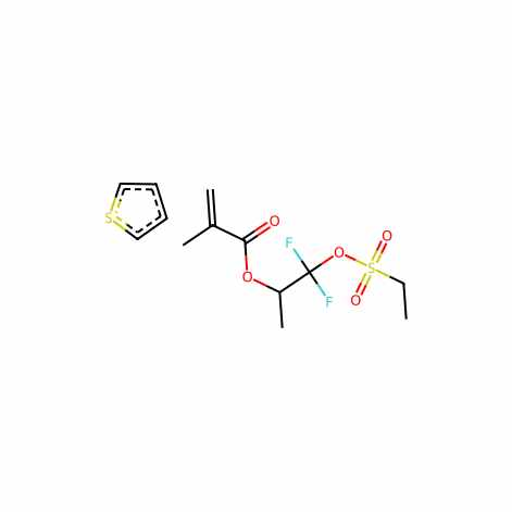 C=C(C)C(=O)OC(C)C(F)(F)OS(=O)(=O)CC.c1ccsc1